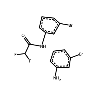 Nc1cccc(Br)c1.O=C(Nc1cccc(Br)c1)C(F)F